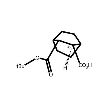 CC(C)(C)OC(=O)C1C2CCC(CC2)[C@H]1C(=O)O